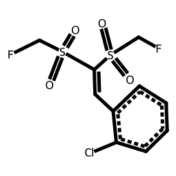 O=S(=O)(CF)C(=Cc1ccccc1Cl)S(=O)(=O)CF